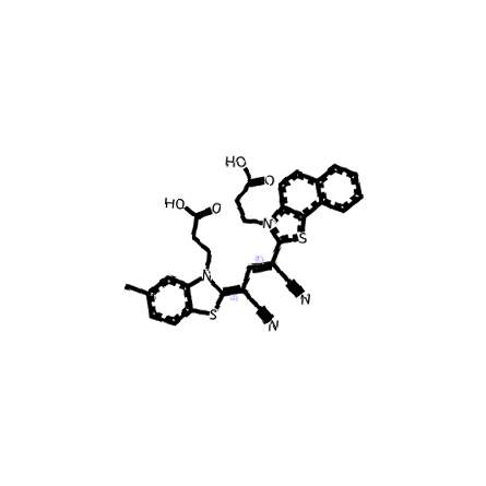 Cc1ccc2c(c1)N(CCC(=O)O)/C(=C(C#N)\C=C(/C#N)c1sc3c4ccccc4ccc3[n+]1CCC(=O)O)S2